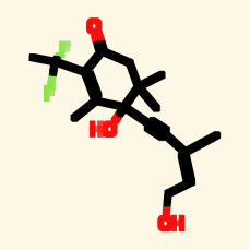 CC1=C(C(C)(F)F)C(=O)CC(C)(C)C1(O)C#C/C(C)=C\CO